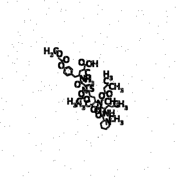 CCC(C)C(NC(=O)C1CCCCN1C)C(=O)N(COC(=O)CC(C)C)C(CC(OC(C)=O)c1nc(C(=O)NC(Cc2ccc(OC(=O)COC)cc2)CC(C)C(=O)O)cs1)C(C)C